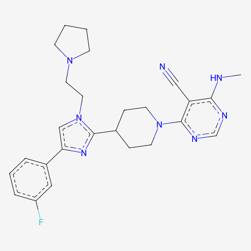 CNc1ncnc(N2CCC(c3nc(-c4cccc(F)c4)cn3CCN3CCCC3)CC2)c1C#N